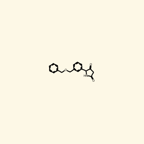 O=C1CC(=O)C(c2cccc(COCc3ccccc3)c2)N1